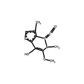 COC1=C(O)c2scc(C)c2S(=C=O)N1C